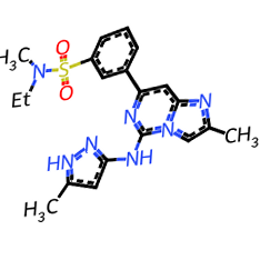 CCN(C)S(=O)(=O)c1cccc(-c2cc3nc(C)cn3c(Nc3cc(C)[nH]n3)n2)c1